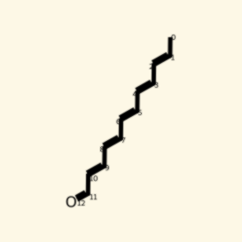 C/C=C/C=C/C=C/C=C/C=C/C=O